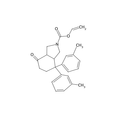 C=COC(=O)N1CC2C(=O)CCC(c3cccc(C)c3)(c3cccc(C)c3)C2C1